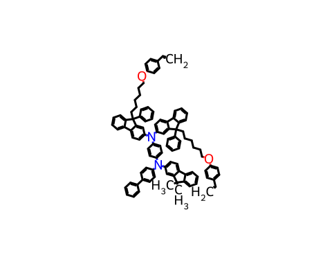 C=Cc1ccc(OCCCCCCC2(c3ccccc3)c3ccccc3-c3ccc(N(c4ccc(N(c5ccc(-c6ccccc6)cc5)c5ccc6c(c5)C(C)(C)c5ccccc5-6)cc4)c4ccc5c(c4)C(CCCCCCOc4ccc(C=C)cc4)(c4ccccc4)c4ccccc4-5)cc32)cc1